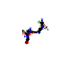 CC(C)(C)C(NC(=O)COCCCCn1cc(-c2ccc(N3C(=S)N(c4ccc(C#N)c(Cl)c4)C(=O)C3(C)C)cc2)cn1)C(=O)N1C[C@H](O)C[C@H]1C(=O)NCc1ccc(-c2cnco2)cc1